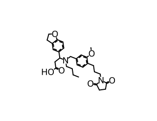 CCCCN(Cc1ccc(CCCN2C(=O)CCC2=O)c(OC)c1)C(CC(=O)O)c1ccc2c(c1)CCO2